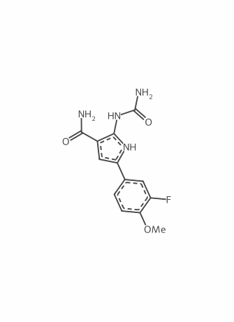 COc1ccc(-c2cc(C(N)=O)c(NC(N)=O)[nH]2)cc1F